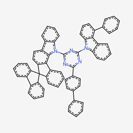 c1ccc(-c2ccc(-c3nc(-n4c5ccccc5c5c(-c6ccccc6)cccc54)nc(-n4c5ccccc5c5ccc6c(c54)-c4ccccc4C64c5ccccc5-c5ccccc54)n3)cc2)cc1